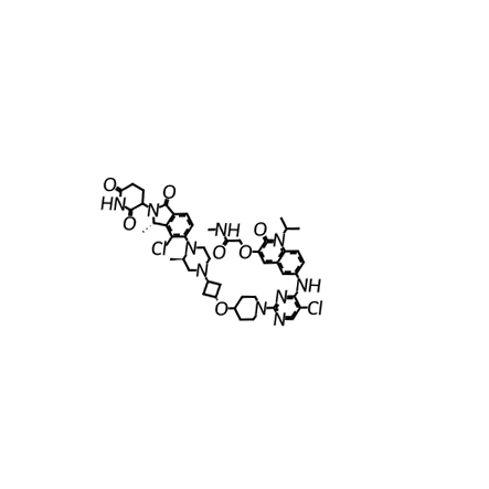 CNC(=O)COc1cc2cc(Nc3nc(N4CCC(O[C@H]5C[C@H](N6CCN(c7ccc8c(c7Cl)[C@H](C)N(C7CCC(=O)NC7=O)C8=O)[C@H](C)C6)C5)CC4)ncc3Cl)ccc2n(C(C)C)c1=O